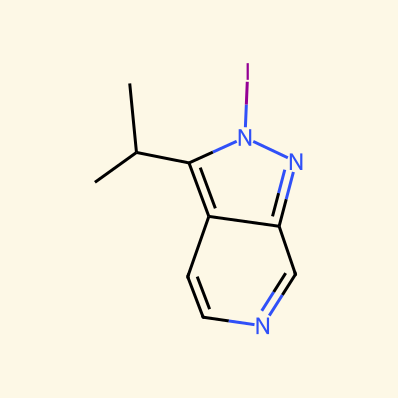 CC(C)c1c2ccncc2nn1I